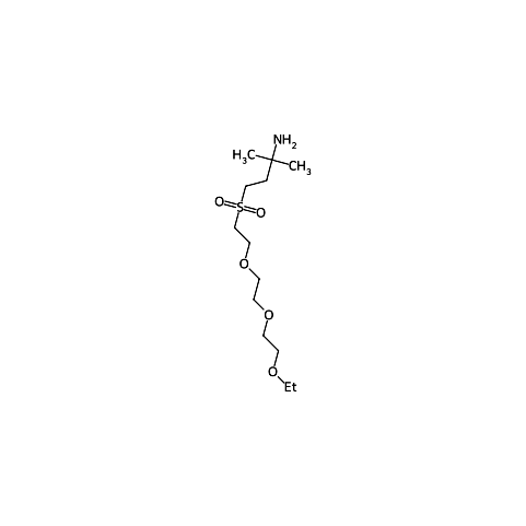 CCOCCOCCOCCS(=O)(=O)CCC(C)(C)N